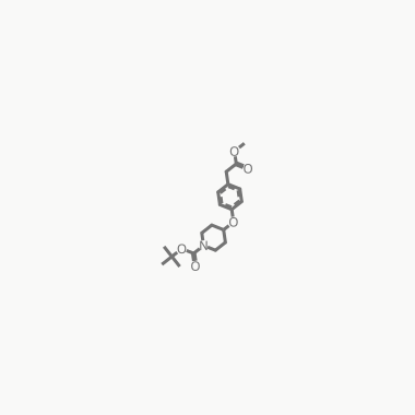 COC(=O)Cc1ccc(OC2CCN(C(=O)OC(C)(C)C)CC2)cc1